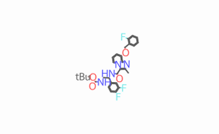 Cc1nc2c(OCc3ccccc3F)cccn2c1C(=O)NC(CNC(=O)OC(C)(C)C)c1ccc(F)c(F)c1